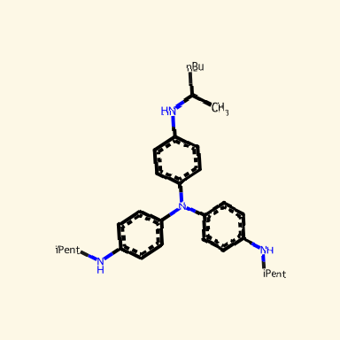 CCCCC(C)Nc1ccc(N(c2ccc(NC(C)CCC)cc2)c2ccc(NC(C)CCC)cc2)cc1